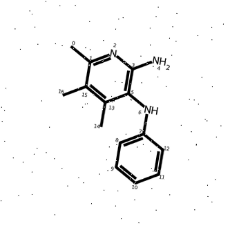 Cc1nc(N)c(Nc2ccccc2)c(C)c1C